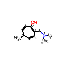 CCN(CC1=C(O)C=CC(C)C=C1)C(C)(C)C